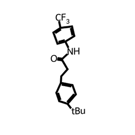 CC(C)(C)c1ccc(CCC(=O)Nc2ccc(C(F)(F)F)cc2)cc1